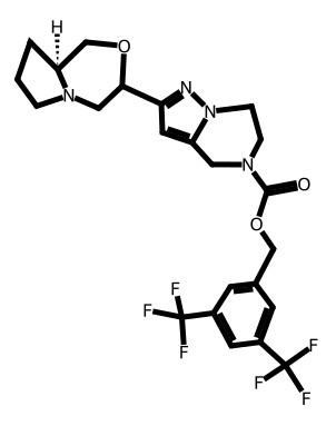 O=C(OCc1cc(C(F)(F)F)cc(C(F)(F)F)c1)N1CCn2nc(C3CN4CCC[C@H]4CO3)cc2C1